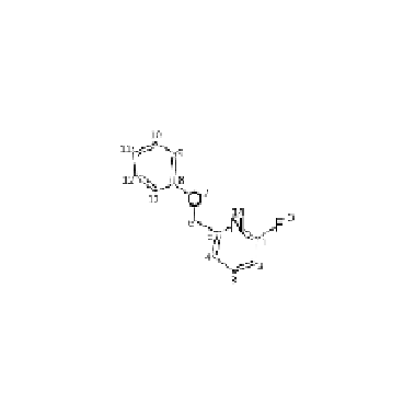 Fc1cccc(COc2cc[c]cc2)n1